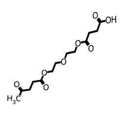 CC(=O)CCC(=O)OCCOCCOC(=O)CCC(=O)O